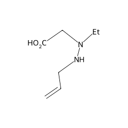 C=CCNN(CC)CC(=O)O